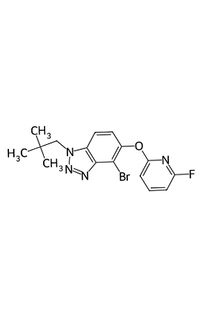 CC(C)(C)Cn1nnc2c(Br)c(Oc3cccc(F)n3)ccc21